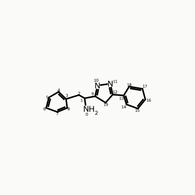 NC(Cc1ccccc1)C1=NN=C(c2ccccc2)C1